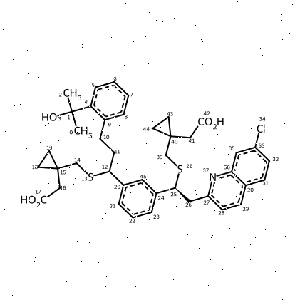 CC(C)(O)c1ccccc1CCC(SCC1(CC(=O)O)CC1)c1cccc([C@H](Cc2ccc3ccc(Cl)cc3n2)SCC2(CC(=O)O)CC2)c1